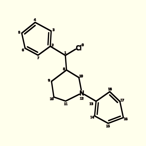 ClC(c1ccccc1)C1CCCN(c2ccccc2)C1